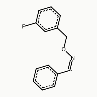 Fc1cccc(CO/N=[C]\c2ccccc2)c1